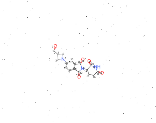 O=CC1CN(c2ccc3c(c2)C(=O)N(C2CCC(=O)NC2=O)C3=O)C1